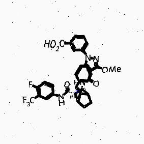 COc1nn(-c2cccc(C(=O)O)c2)cc1C(=O)N[C@@H]1C2CCC(/C2=C/c2ccccc2)[C@@H]1C(=O)Nc1ccc(F)c(C(F)(F)F)c1